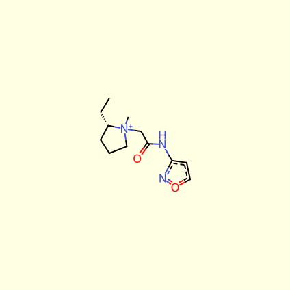 CC[C@H]1CCC[N+]1(C)CC(=O)Nc1ccon1